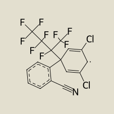 N#Cc1ccccc1C1(C(F)(C(F)(F)F)C(F)(F)C(F)(F)F)C=C(Cl)[CH]C(Cl)=C1